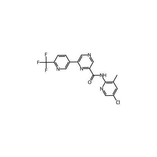 Cc1cc(Cl)cnc1NC(=O)c1cncc(-c2ccc(C(F)(F)F)nc2)n1